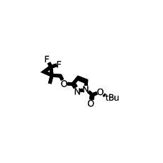 CC(C)(C)OC(=O)n1ccc(OCC2(C)CC2(F)F)n1